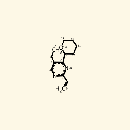 C=Cc1ncc(CC)c(C2CCCCO2)n1